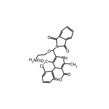 CCOC(=O)C1=C(C(OCCN)N2C(=O)c3ccccc3C2=O)NC(C)=C(C(=O)OC)C1c1ccccc1Cl